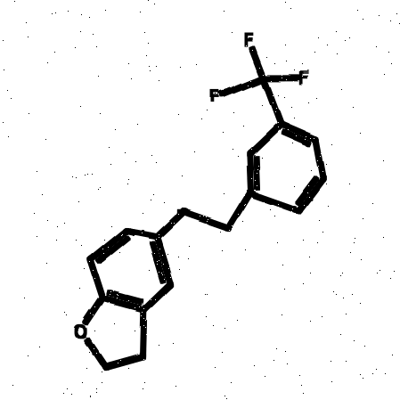 FC(F)(F)c1cccc(C[CH]c2ccc3c(c2)CCO3)c1